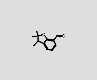 CC1c2cccc(C=O)c2OC1(C)C